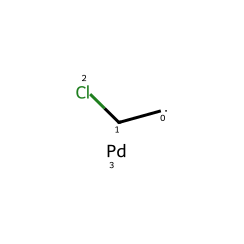 [CH2]CCl.[Pd]